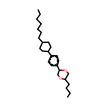 CCCCCCCC1CCC(c2ccc(C3COC(CCCC)CO3)cc2)CC1